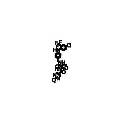 COc1ncc(C(=O)N[C@@]2(C(=O)NCc3ccc(Nc4ccc(Cl)cc4C(F)(F)F)cc3)CCOC2)cn1